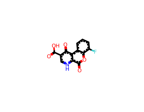 O=C(O)c1c[nH]c2c(=O)oc3c(F)cccc3c2c1=O